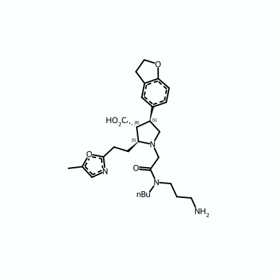 CCCCN(CCCN)C(=O)CN1C[C@H](c2ccc3c(c2)CCO3)[C@@H](C(=O)O)[C@@H]1CCc1ncc(C)o1